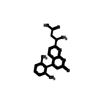 Cc1cccc(C)c1-c1cc(=O)oc2nc(N(C)CC(=O)O)ccc12